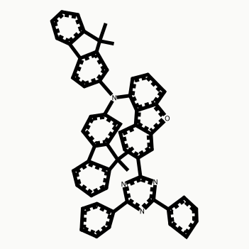 CC1(C)c2ccccc2-c2ccc(N(c3ccc4c(c3)C(C)(C)c3ccccc3-4)c3cccc4oc5cc(-c6nc(-c7ccccc7)nc(-c7ccccc7)n6)ccc5c34)cc21